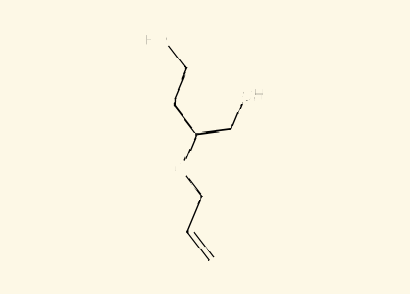 C=CCOC(CO)CCO